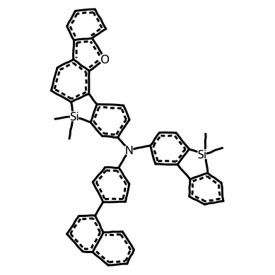 C[Si]1(C)c2ccccc2-c2cc(N(c3ccc(-c4cccc5ccccc45)cc3)c3ccc4c(c3)[Si](C)(C)c3ccc5c(oc6ccccc65)c3-4)ccc21